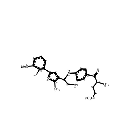 COc1cccc(-c2cc(C(CC(C)C)Nc3ccc(C(=O)N(C)CCC(=O)O)cc3)c(C)o2)c1F